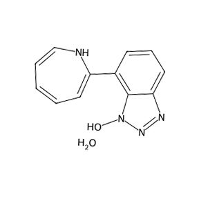 O.On1nnc2cccc(C3=CC=CC=CN3)c21